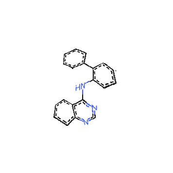 [c]1ccc(Nc2ncnc3ccccc23)c(-c2ccccc2)c1